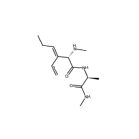 C=C/C(=C\CC)[C@H](NC)C(=O)N[C@@H](C)C(=O)NC